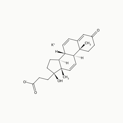 C[C@]12CCC(=O)C=C1C=C[C@@H]1[C@@H]2C=C[C@@]2(C)[C@H]1CC[C@@]2(O)CCC(=O)[O-].[K+]